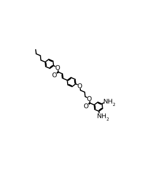 CCCCc1ccc(OC(=O)/C=C/c2ccc(OCCCOC(=O)c3cc(N)cc(N)c3)cc2)cc1